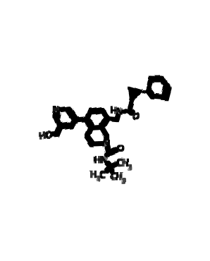 CC(C)(C)NC(=O)N1CCc2c(-c3cncc(CO)c3)ccc(CNC(=O)C3C[C@@H]3c3ccccc3)c2C1